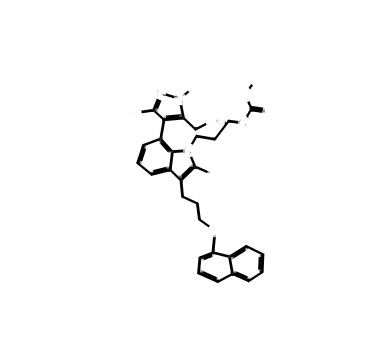 CCOC(=O)c1c(CCCOc2cccc3ccccc23)c2cccc(-c3c(C)nn(C)c3CO)c2n1CCCNC(=O)OC(C)(C)C